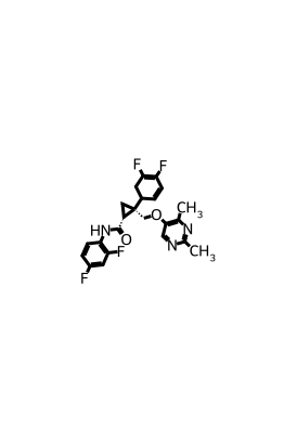 Cc1ncc(OC[C@@]2(C3C=CC(F)=C(F)C3)C[C@H]2C(=O)Nc2ccc(F)cc2F)c(C)n1